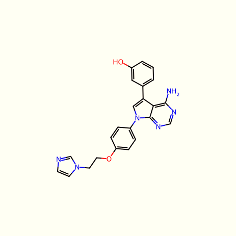 Nc1ncnc2c1c(-c1cccc(O)c1)cn2-c1ccc(OCCn2ccnc2)cc1